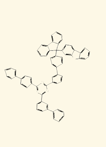 c1ccc(-c2ccc(-c3nc(-c4cccc(-c5ccccc5)c4)nc(-c4cccc(-c5ccc(C6(c7ccc8c(c7)oc7ccccc78)c7ccccc7-c7ccccc76)cc5)c4)n3)cc2)cc1